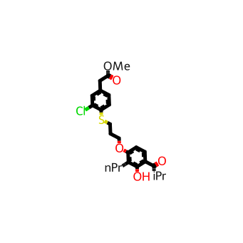 CCCc1c(OCCCSc2ccc(CC(=O)OC)cc2Cl)ccc(C(=O)C(C)C)c1O